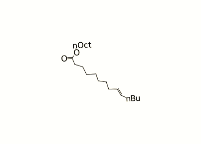 CCCCC=CCCCCCCCC(=O)OCCCCCCCC